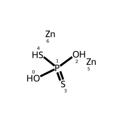 OP(O)(=S)S.[Zn].[Zn]